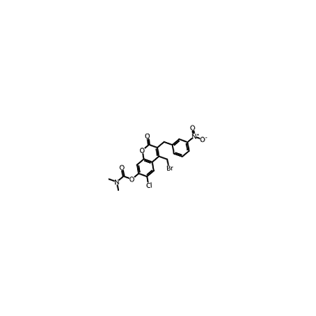 CN(C)C(=O)Oc1cc2oc(=O)c(Cc3cccc([N+](=O)[O-])c3)c(CBr)c2cc1Cl